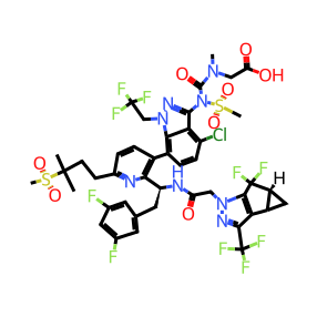 CN(CC(=O)O)C(=O)N(c1nn(CC(F)(F)F)c2c(-c3ccc(CCC(C)(C)S(C)(=O)=O)nc3[C@H](Cc3cc(F)cc(F)c3)NC(=O)Cn3nc(C(F)(F)F)c4c3C(F)(F)[C@@H]3CC43)ccc(Cl)c12)S(C)(=O)=O